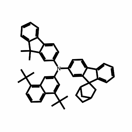 CC(C)(C)c1cc(N(c2ccc3c(c2)C(C)(C)c2ccccc2-3)c2ccc3c(c2)C2(CC4CCC2C4)c2ccccc2-3)cc2c(C(C)(C)C)cccc12